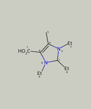 CCC1N(CC)C(C)=C(C(=O)O)N1CC